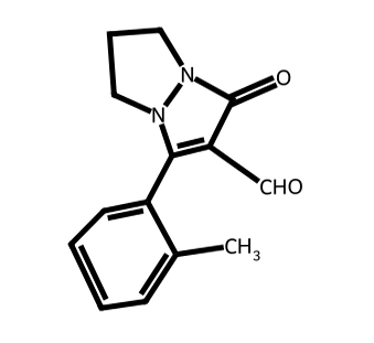 Cc1ccccc1-c1c(C=O)c(=O)n2n1CCC2